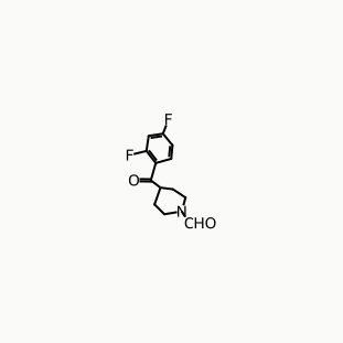 O=CN1CCC(C(=O)c2ccc(F)cc2F)CC1